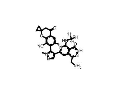 [2H]C([2H])([2H])Nc1nc(-c2cnn(C)c2-c2c(F)cc3c(c2C#N)OC2(CC2)CC3=O)cc2c(CN)n[nH]c(=O)c12